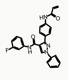 C=CC(=O)Nc1ccc(-c2nn(-c3ccccc3)cc2C(=O)Nc2cccc(F)c2)cc1